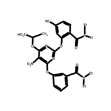 CCN(CC)C(=O)c1cccc(Oc2nc(Oc3cc(C#N)ccc3C(=O)N(CC)CC)nc(OC(C)C(=O)O)c2[N+](=O)[O-])c1